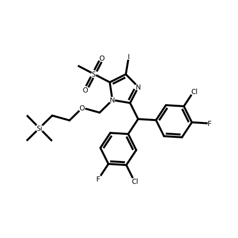 C[Si](C)(C)CCOCn1c(C(c2ccc(F)c(Cl)c2)c2ccc(F)c(Cl)c2)nc(I)c1S(C)(=O)=O